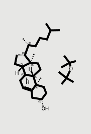 CC(C)(C)OC(C)(C)C.CC(C)CCC[C@@H](C)[C@H]1CC[C@H]2[C@@H]3CC=C4C[C@@H](O)CC[C@]4(C)[C@H]3CC[C@]12C